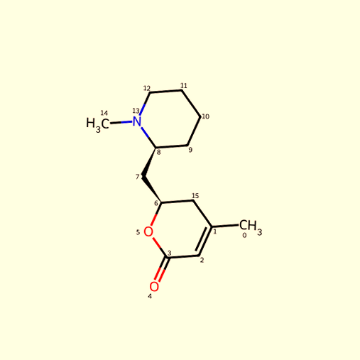 CC1=CC(=O)O[C@@H](C[C@@H]2CCCCN2C)C1